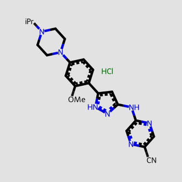 COc1cc(N2CCN(C(C)C)CC2)ccc1-c1cc(Nc2cnc(C#N)cn2)n[nH]1.Cl